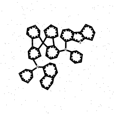 c1ccc(N(c2ccc3c(c2)C2(c4ccccc4-3)c3ccccc3-c3c(N(c4ccccc4)c4cccc5c4sc4ccccc45)cccc32)c2cccc3ccccc23)cc1